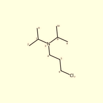 CC(C)N(CCCCl)C(C)C